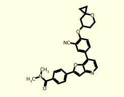 CN(C)C(=O)c1ccc(-c2cc3nccc(-c4ccc(OC5CCOC6(CC6)C5)c(C#N)c4)c3o2)cc1